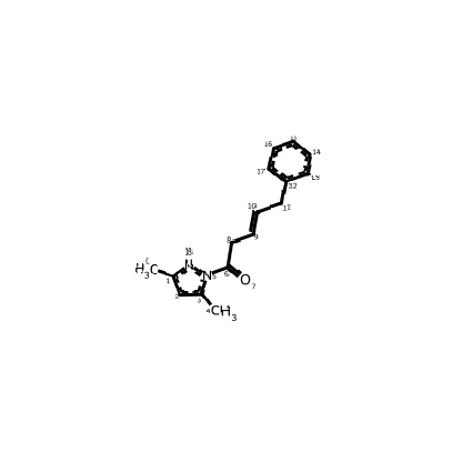 Cc1cc(C)n(C(=O)C/C=C/Cc2ccccc2)n1